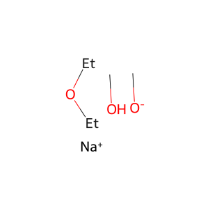 CCOCC.CO.C[O-].[Na+]